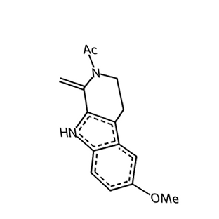 C=C1c2[nH]c3ccc(OC)cc3c2CCN1C(C)=O